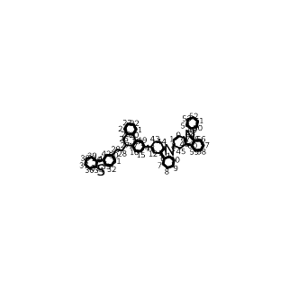 C1=CC(n2c3c(c4ccccc42)C=C(c2ccc4c(c2)-c2ccccc2CC4CCc2ccc4sc5ccccc5c4c2)CC3)Cc2c1n(-c1ccccc1)c1ccccc21